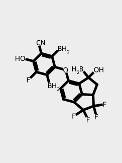 Bc1c(F)c(O)c(C#N)c(B)c1Oc1ccc2c3c1C(B)(O)CC3C(F)(F)C2(F)F